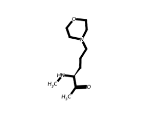 CN[C@@H](CCCN1CCOCC1)C(C)=O